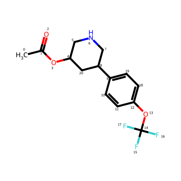 CC(=O)OC1CNCC(c2ccc(OC(F)(F)F)cc2)C1